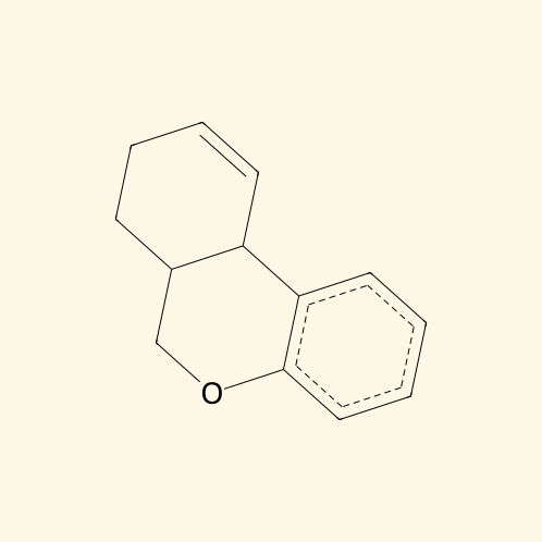 C1=CC2c3ccccc3OCC2CC1